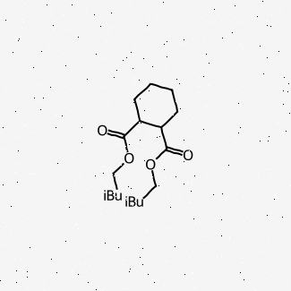 CCC(C)COC(=O)C1CCCCC1C(=O)OCC(C)CC